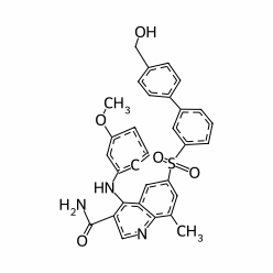 COc1cccc(Nc2c(C(N)=O)cnc3c(C)cc(S(=O)(=O)c4cccc(-c5ccc(CO)cc5)c4)cc23)c1